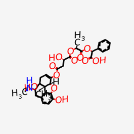 CC[C@]12c3c4ccc(O)c3O[C@H]1C(OC(=O)C[C@H](O)C(=O)O[C@@H](C)C(=O)O[C@H](C(=O)O)c1ccccc1)=CC[C@@]2(O)[C@H](NC)C4